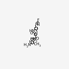 Cc1cc(N)nc(C)c1CNC(=O)c1cc2n(c1)Cc1ccc(Cn3cc(F)cn3)cc1NC2=O